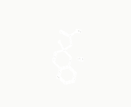 Cl.O=C(O)CC1(F)C=Cc2ncccc2C1